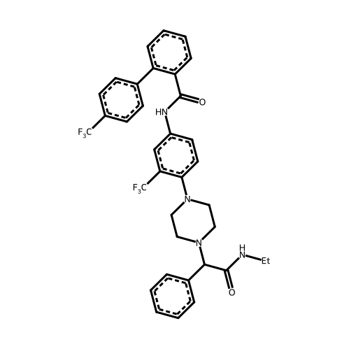 CCNC(=O)C(c1ccccc1)N1CCN(c2ccc(NC(=O)c3ccccc3-c3ccc(C(F)(F)F)cc3)cc2C(F)(F)F)CC1